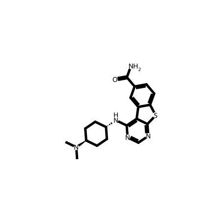 CN(C)[C@H]1CC[C@H](Nc2ncnc3sc4ccc(C(N)=O)cc4c23)CC1